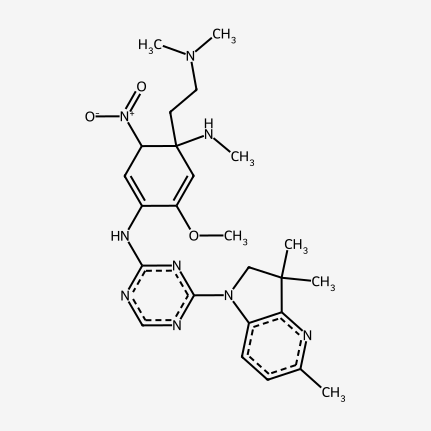 CNC1(CCN(C)C)C=C(OC)C(Nc2ncnc(N3CC(C)(C)c4nc(C)ccc43)n2)=CC1[N+](=O)[O-]